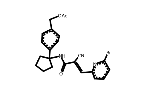 CC(=O)OCc1ccc(C2(NC(=O)/C(C#N)=C/c3cccc(Br)n3)CCCC2)cc1